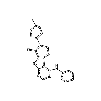 Cc1ccc(-n2cnc3c(sc4ncnc(Nc5ccccc5)c43)c2=O)cc1